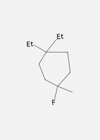 CCC1(CC)CCC(C)(F)CC1